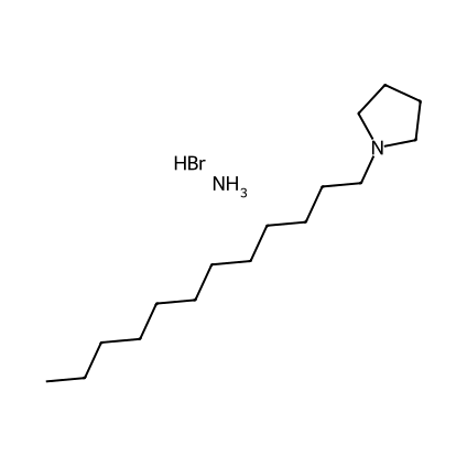 Br.CCCCCCCCCCCCN1CCCC1.N